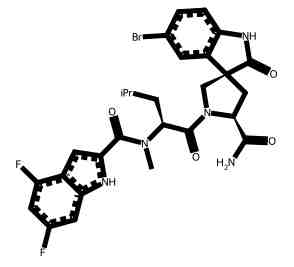 CC(C)C[C@@H](C(=O)N1C[C@]2(C[C@H]1C(N)=O)C(=O)Nc1ccc(Br)cc12)N(C)C(=O)c1cc2c(F)cc(F)cc2[nH]1